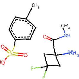 CNC(=O)C1(N)CC(F)(F)C1.Cc1ccc(S(=O)(=O)O)cc1